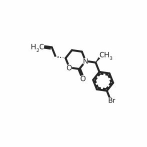 C=CC[C@@H]1CCN([C@@H](C)c2ccc(Br)cc2)C(=O)O1